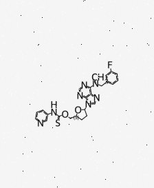 CN(Cc1cccc(F)c1)c1ncnc2c1ncn2C1CC[C@@H](COC(=S)Nc2cccnc2)O1